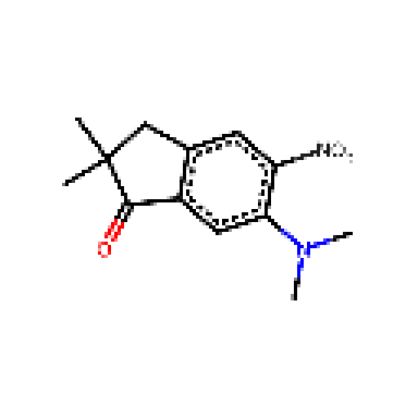 CN(C)c1cc2c(cc1[N+](=O)[O-])CC(C)(C)C2=O